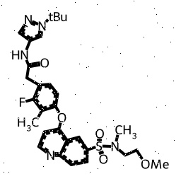 COCCN(C)S(=O)(=O)c1ccc2nccc(Oc3ccc(CC(=O)Nc4cnn(C(C)(C)C)c4)c(F)c3C)c2c1